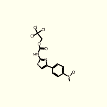 C[S+]([O-])c1ccc(-c2csc(NC(=O)OCC(Cl)(Cl)Cl)n2)cc1